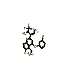 N=Cc1c(N)ccc2nc(/C(=C/N)C(=N)C(F)(F)F)cc(Oc3cccc(F)c3)c12